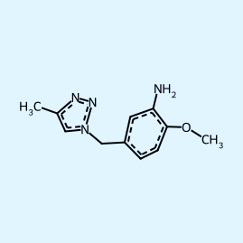 COc1ccc(Cn2cc(C)nn2)cc1N